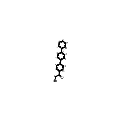 O=C(CBr)c1ccc(-c2ccc(-c3ccccc3)cc2)cc1